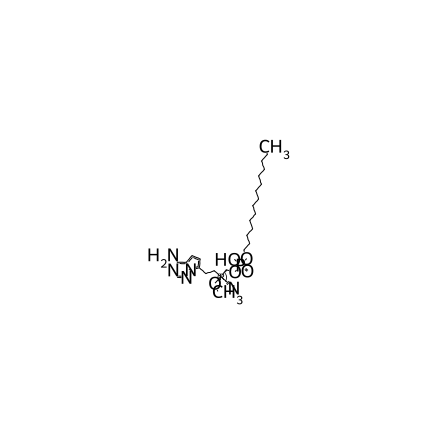 CCCCCCCCCCCCCCCOP(=O)(O)OC[C@](C#N)(CCc1ccc2c(N)ncnn12)OC